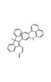 C=C/C=C\C1=C(c2ccc3c(c2)Sc2cccc4cccc-3c24)C(C)(c2ccccc2)c2ccccc21